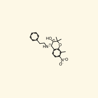 Cc1c([N+](=O)[O-])ccc2c1OC(C)(C)[C@H](O)[C@H]2NCCc1ccccc1